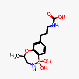 CC1CNS(O)(O)c2ccc(CCCNC(=O)O)cc2O1